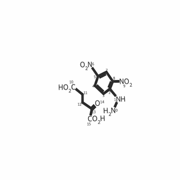 NNc1ccc([N+](=O)[O-])cc1[N+](=O)[O-].O=C(O)CCC(=O)C(=O)O